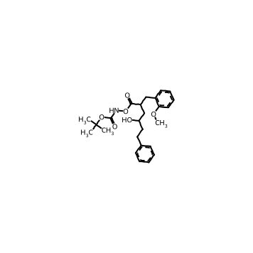 COc1ccccc1CC(CC(O)CCc1ccccc1)C(=O)ONC(=O)OC(C)(C)C